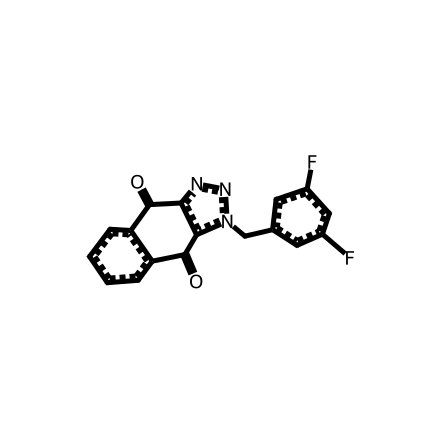 O=C1c2ccccc2C(=O)c2c1nnn2Cc1cc(F)cc(F)c1